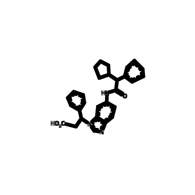 O=C(O)CC(c1ccccc1)n1cnc2ccc(NC(=O)C(c3ccccc3)C3CCCC3)cc21